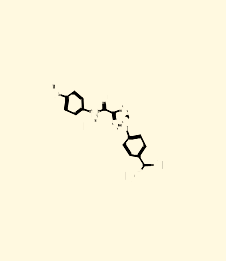 COc1ccc(N(C)C(=O)c2ncn(-c3ccc(C(C)C)cc3)n2)cc1